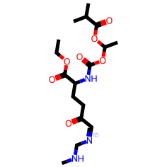 CCOC(=O)C(CCC(=O)/C=N\CNC)NC(=O)OC(C)OC(=O)C(C)C